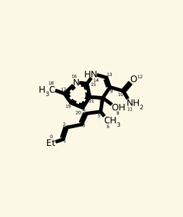 CC/C=C/C=C/C(C)C1(O)C(C(N)=O)=CNc2nc(C)ccc21